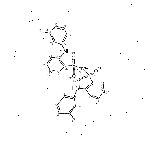 Cc1cccc(Nc2ccncc2S(=O)(=O)NS(=O)(=O)c2cnccc2Nc2cccc(C)c2)c1